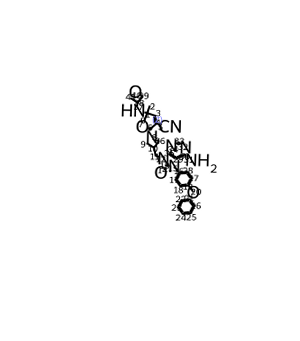 CC(C)(/C=C(/C#N)C(=O)N1CC(Cn2c(=O)n(-c3ccc(Oc4ccccc4)cc3)c3c(N)ncnc32)C1)NC1COC1